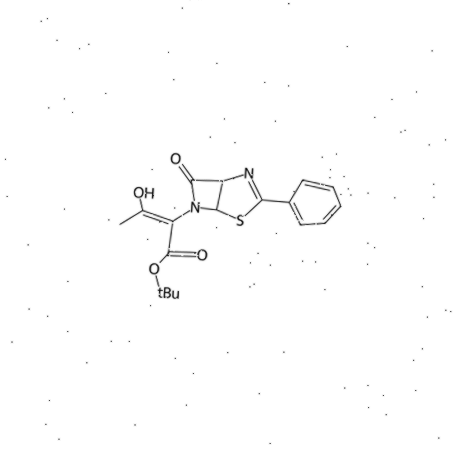 C/C(O)=C(\C(=O)OC(C)(C)C)N1C(=O)C2N=C(c3ccccc3)SC21